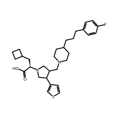 O=C(O)[C@@H](CC1CCC1)N1CC(CN2CCC(CCCc3ccc(F)cc3)CC2)C(c2ccsc2)C1